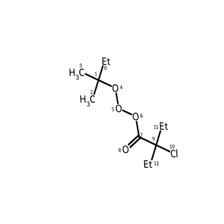 CCC(C)(C)OOOC(=O)C(Cl)(CC)CC